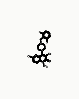 Cn1c(=O)c(C#N)c(N2CCN(Cc3c(F)cccc3F)CC2)c2nc(Cl)ccc21